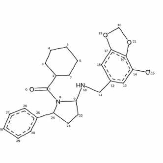 O=C(C1CCCCC1)N1C(NCc2cc(Cl)c3c(c2)OCO3)CCC1c1ccccc1